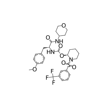 COc1ccc(C[C@H](NC(=O)O[C@H]2CCCCN2S(=O)(=O)c2cccc(C(F)(F)F)c2)C(=O)NC2CCOCC2)cc1